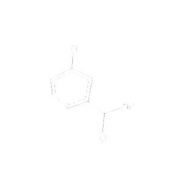 NC(c1cccc(Cl)c1)C(F)(F)F